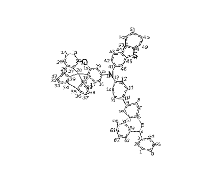 c1ccc(C(Cc2ccc(-c3ccc(N(c4ccc5c(c4)Oc4ccccc4C54c5ccccc5-c5ccccc54)c4ccc5c(c4)sc4ccccc45)cc3)cc2)c2ccccc2)cc1